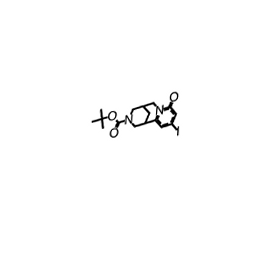 CC(C)(C)OC(=O)N1CC2CC(C1)c1cc(I)cc(=O)n1C2